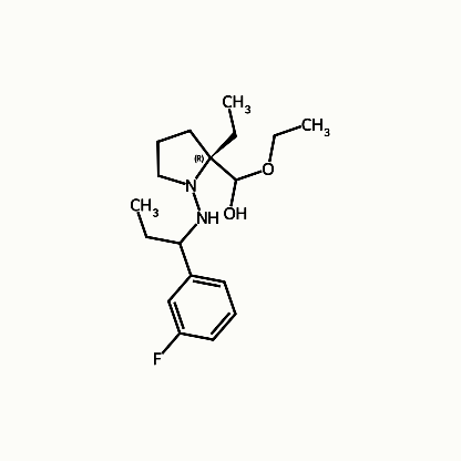 CCOC(O)[C@@]1(CC)CCCN1NC(CC)c1cccc(F)c1